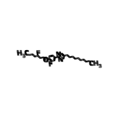 CCCCCCCCCCc1cnc(-c2ccc(OCCC(F)CCCC)c(F)c2)nc1